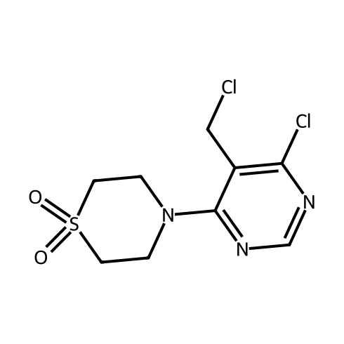 O=S1(=O)CCN(c2ncnc(Cl)c2CCl)CC1